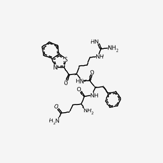 N=C(N)NCCCC(NC(=O)C(Cc1ccccc1)NC(=O)C(N)CCC(N)=O)C(=O)c1nc2ccccc2s1